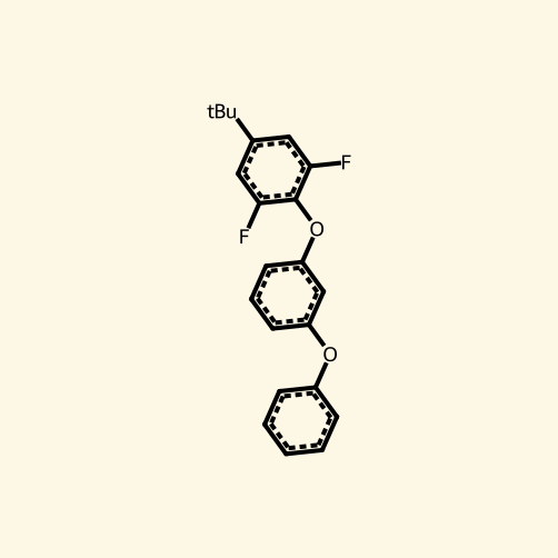 CC(C)(C)c1cc(F)c(Oc2cccc(Oc3ccccc3)c2)c(F)c1